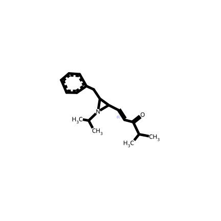 CC(C)C(=O)/C=C/C1C(Cc2ccccc2)N1C(C)C